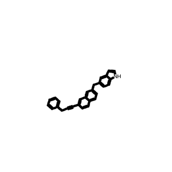 C(#Cc1ccc2ccc(Cc3ccc4[nH]ccc4c3)cc2c1)Cc1ccccc1